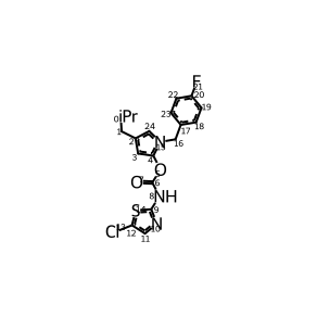 CC(C)Cc1cc(OC(=O)Nc2ncc(Cl)s2)n(Cc2ccc(F)cc2)c1